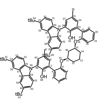 Cc1cc(-c2ccccc2O[C@@H]2CCC[C@H](Oc3ccccc3-c3cc(C)cc(-n4c5ccc(C(C)(C)C)cc5c5cc(C(C)(C)C)ccc54)c3O)C2)c(O)c(-n2c3ccc(C(C)(C)C)cc3c3cc(C(C)(C)C)ccc32)c1